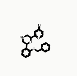 O=c1ccoc(C2CNCC(c3ccccc3OCc3ccccc3)O2)c1